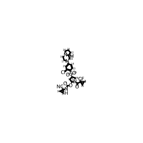 N#CC1(NC(=O)O[C@H]2C[C@@H](S(=O)(=O)c3ccc(N4CCN5CCC[C@H]5C4)cc3Cl)CN2C(=O)C2(C(F)(F)F)CC2)CC1